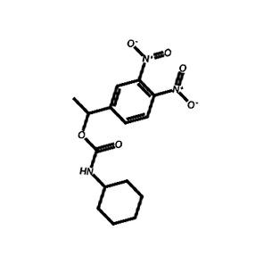 CC(OC(=O)NC1CCCCC1)c1ccc([N+](=O)[O-])c([N+](=O)[O-])c1